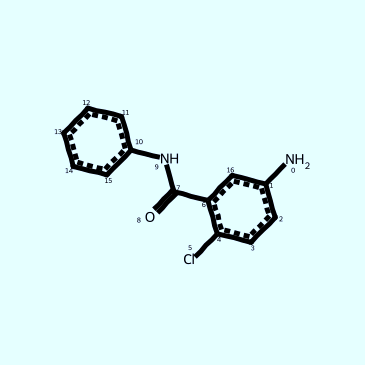 Nc1ccc(Cl)c(C(=O)Nc2ccccc2)c1